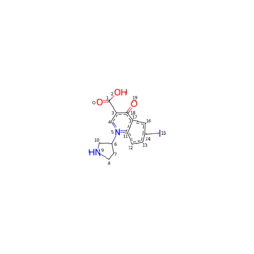 O=C(O)c1cn(C2CCNC2)c2ccc(I)cc2c1=O